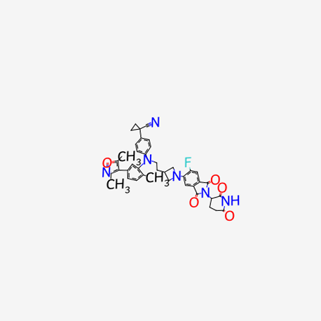 Cc1ccc(-c2c(C)noc2C)cc1N(CCC1CN(c2cc3c(cc2F)C(=O)N(C2CCC(=O)NC2=O)C3=O)C1)c1ccc(C2(C#N)CC2)cc1